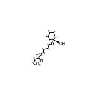 C#CC1(OCCCCNC(=O)C=C)CCCCC1